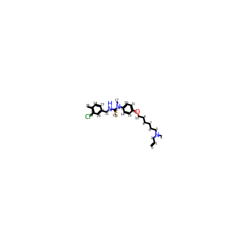 C=CCN(C)CCCCCCOc1ccc(N(C)C(=S)NCc2ccc(C)c(Cl)c2)cc1